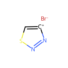 [Br-].[C+]1=CSN=N1